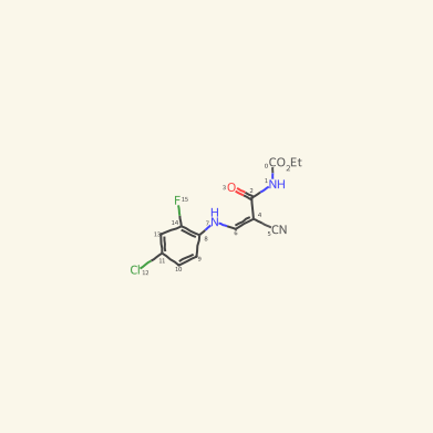 CCOC(=O)NC(=O)C(C#N)=CNc1ccc(Cl)cc1F